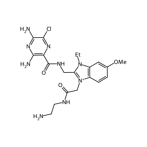 CCn1c(CNC(=O)c2nc(Cl)c(N)nc2N)[n+](CC(=O)NCCN)c2ccc(OC)cc21